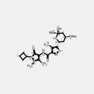 CO[C@H]1C[C@H](c2onc(C(=O)Nc3c(C)n(C)n(C4CCC4)c3=O)c2C)O[C@@](O)(C(C)(C)C)C1